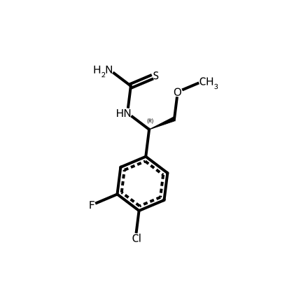 COC[C@H](NC(N)=S)c1ccc(Cl)c(F)c1